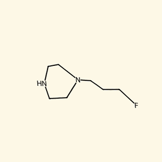 FCCCN1CCNCC1